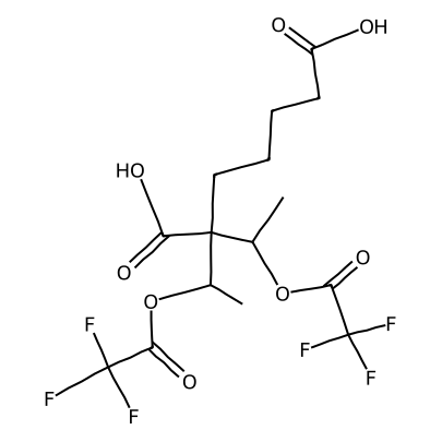 CC(OC(=O)C(F)(F)F)C(CCCCC(=O)O)(C(=O)O)C(C)OC(=O)C(F)(F)F